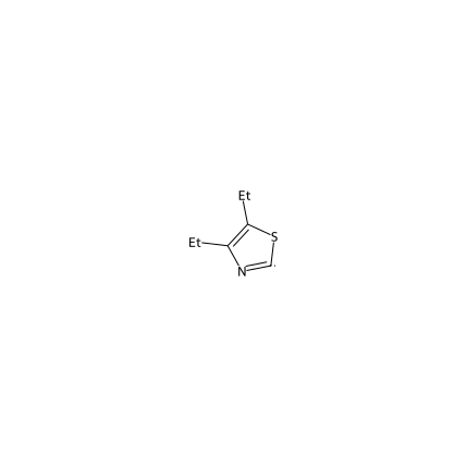 CCc1n[c]sc1CC